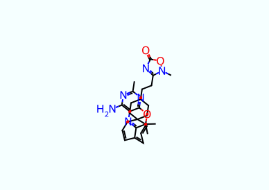 Cc1nc(N)c2c(n1)OC(C)(C)C(C1=C\C=C\C3(C/C=C\1)CCC(CCc1nc(=O)on1C)CC3)=N2